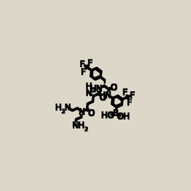 NCCN(CCN)C(=O)CC[C@H](N)C(=O)N[C@H](Cc1ccc(C(F)(F)F)cc1)C(=O)Nc1cc(B(O)O)cc(C(F)(F)F)c1